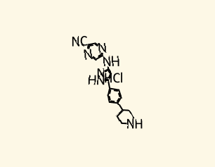 Cl.N#Cc1cnc(Nc2cc(-c3ccc(C4CCNCC4)cc3)[nH]n2)cn1